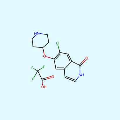 O=C(O)C(F)(F)F.O=c1[nH]ccc2cc(OC3CCNCC3)c(Cl)cc12